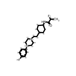 CC(F)C(=O)NC1CCC(CCN2CCN(c3ccc(F)cc3)CC2)CC1